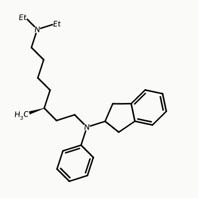 CCN(CC)CCCC[C@H](C)CCN(c1ccccc1)C1Cc2ccccc2C1